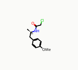 COc1ccc(C[C@@H](C)NC(=O)CCl)cc1